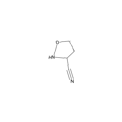 N#CC1C[CH]ON1